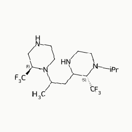 CC(C)N1CCNC(CC(C)N2CCNC[C@@H]2C(F)(F)F)[C@H]1C(F)(F)F